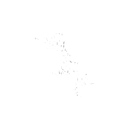 CC(Cc1cc(C(=O)O)cc2c1C(=O)OC21c2ccc(O)cc2Oc2cc(O)ccc21)[C@H](N)C(=O)N[C@@H](C)C(=O)N[C@@H](CC(=O)O)C(=O)C(F)C(=O)C(F)C(=O)[C@H](CC(=O)O)NC(=O)[C@H](C)NC(=O)[C@@H](N)C(C)Cc1cc(C(=O)O)cc2c1C(=O)OC21c2ccc(O)cc2Oc2cc(O)ccc21